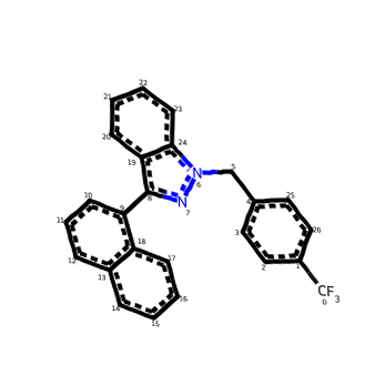 FC(F)(F)c1ccc(Cn2nc(-c3cccc4ccccc34)c3ccccc32)cc1